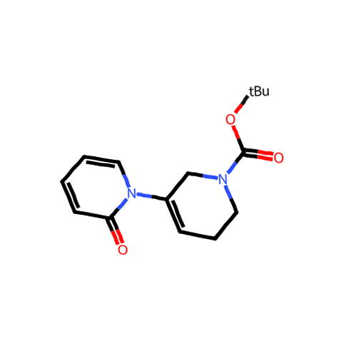 CC(C)(C)OC(=O)N1CCC=C(n2ccccc2=O)C1